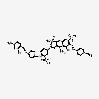 N#Cc1ccc(N=Nc2c(S(=O)(=O)O)cc3cc(S(=O)(=O)O)c(N=Nc4ccc(Nc5ccc(N=Nc6ccc(N)cc6O)cc5)c(S(=O)(=O)O)c4)c(N)c3c2O)cc1